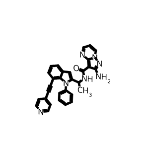 CC(NC(=O)c1c(N)nn2cccnc12)c1cc2cccc(C#Cc3ccncc3)c2n1-c1ccccc1